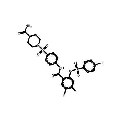 NC(=O)C1CCN(S(=O)(=O)c2ccc(NC(=O)c3cc(F)c(F)cc3NS(=O)(=O)c3ccc(Cl)cc3)cc2)CC1